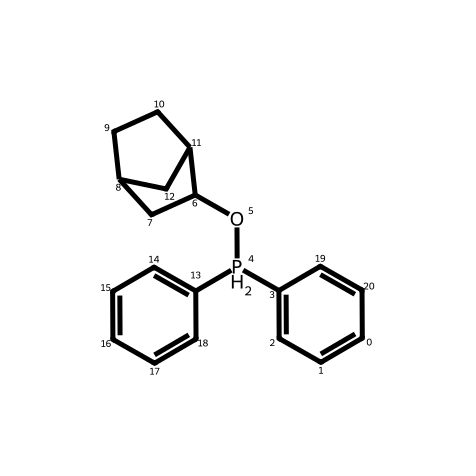 c1ccc([PH2](OC2CC3CCC2C3)c2ccccc2)cc1